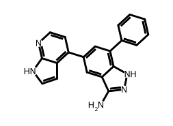 Nc1n[nH]c2c(-c3ccccc3)cc(-c3ccnc4[nH]ccc34)cc12